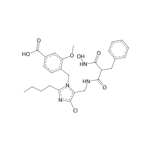 CCCCc1nc(Cl)c(CNC(=O)C(Cc2ccccc2)C(=O)NO)n1Cc1ccc(C(=O)O)cc1OC